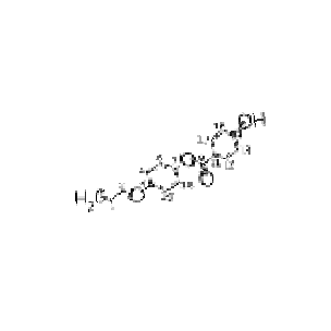 C=CCOc1ccc(OC(=O)c2ccc(O)cc2)cc1